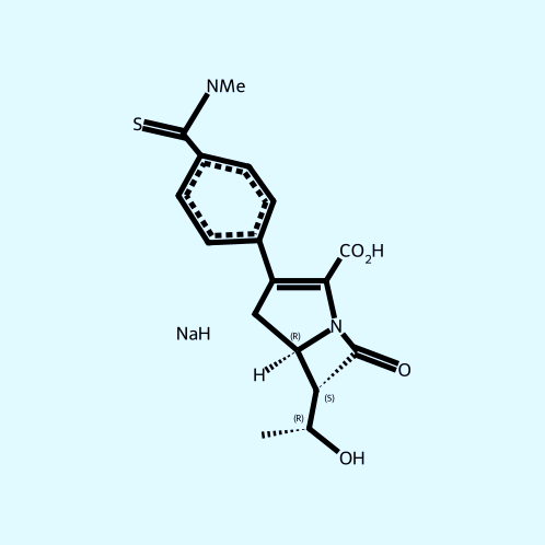 CNC(=S)c1ccc(C2=C(C(=O)O)N3C(=O)[C@H]([C@@H](C)O)[C@H]3C2)cc1.[NaH]